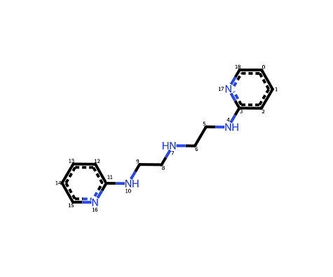 c1ccc(NCCNCCNc2ccccn2)nc1